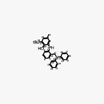 Cc1cc(Pc2ccccc2CN(c2ccccc2)c2ccccc2)c(O)c(C(C)(C)C)c1